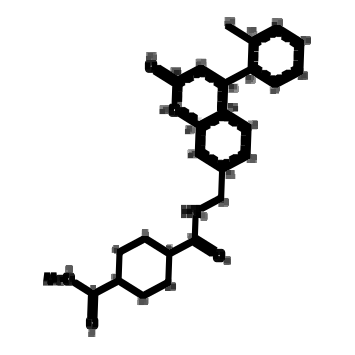 COC(=O)C1CCC(C(=O)NCc2ccc3c(-c4ccccc4C)cc(=O)oc3c2)CC1